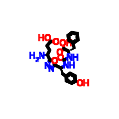 N[C@@H](CCC(=O)O)c1nnc([C@H](Cc2ccc(O)cc2)NC(=O)N[C@@H](Cc2ccccc2)C(=O)O)o1